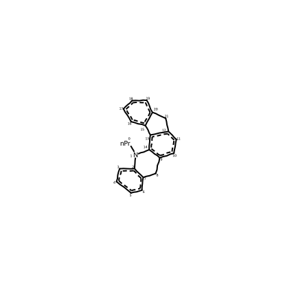 CCCN1c2ccccc2Cc2ccc3c(c21)-c1ccccc1C3